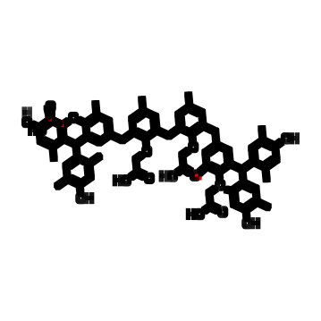 Cc1cc(Cc2cc(C)c(OCC(=O)O)c(C(c3cc(C)c(O)cc3C)c3cc(C)c(O)cc3C)c2)c(OCC(=O)O)c(Cc2cc(C)cc(Cc3cc(C)c(OCC(=O)O)c(C(c4cc(C)c(O)cc4C)c4cc(C)c(O)cc4C)c3)c2OCC(=O)O)c1